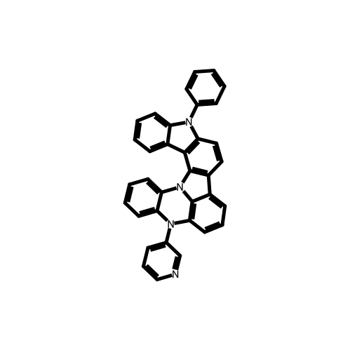 c1ccc(-n2c3ccccc3c3c2ccc2c4cccc5c4n(c23)-c2ccccc2N5c2cccnc2)cc1